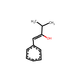 CC(C)C(O)=Cc1ccccc1